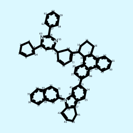 C1=CCCC(c2cc(C3C=CC=C(C4CCCc5c4c4ccc(-c6ccc7c8c(n(-c9ccc%10ccccc%10c9)c7c6)C=CCC8)cc4c4ccccc54)C3)nc(-c3ccccc3)n2)=C1